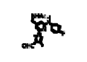 CC(=O)NCc1cc(Nc2ccc(F)cc2)nc(-n2cc(C)c(C=O)n2)c1